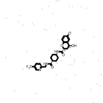 O=C(N[C@H]1CC[C@H](C(=O)NCc2ccc(C(F)(F)F)cn2)CC1)[C@H]1C[C@H](O)c2cc(Cl)ccc2O1